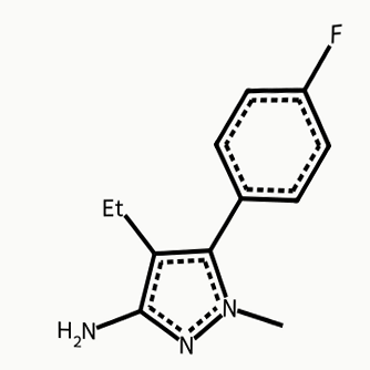 CCc1c(N)nn(C)c1-c1ccc(F)cc1